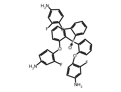 Nc1ccc(Oc2ccccc2P(=O)(c2ccccc2Oc2ccc(N)cc2F)c2ccccc2Oc2ccc(N)cc2F)c(F)c1